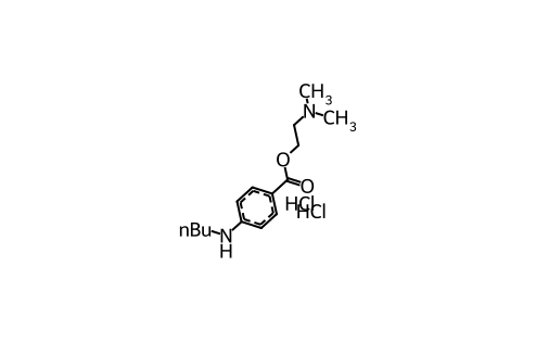 CCCCNc1ccc(C(=O)OCCN(C)C)cc1.Cl.Cl